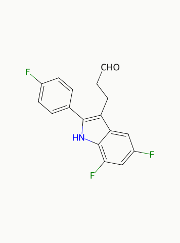 O=CCCc1c(-c2ccc(F)cc2)[nH]c2c(F)cc(F)cc12